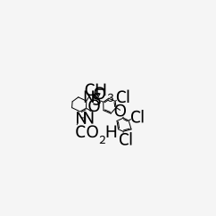 CN(C1CCCc2c1cnn2CC(=O)O)S(=O)(=O)c1ccc(Oc2ccc(Cl)cc2Cl)c(Cl)c1